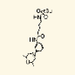 CC1CN(c2cccc(NC(=O)CCCCNS(=O)(=O)C(C)(C)C)c2)CC(C)O1